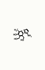 Cc1ncc(CO)c(CO)c1O.Nn1ccnn1